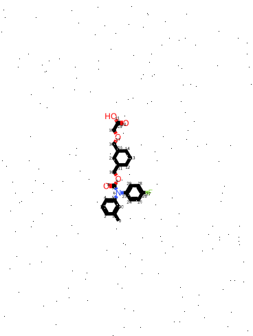 Cc1cccc(N(C(=O)OCC2CCCC(COCC(=O)O)C2)c2ccc(F)cc2)c1